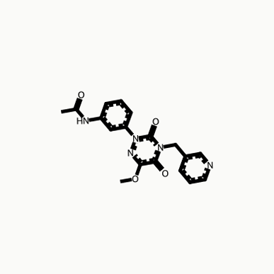 COc1nn(-c2cccc(NC(C)=O)c2)c(=O)n(Cc2cccnc2)c1=O